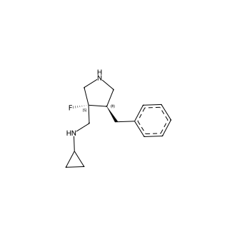 F[C@]1(CNC2CC2)CNC[C@H]1Cc1ccccc1